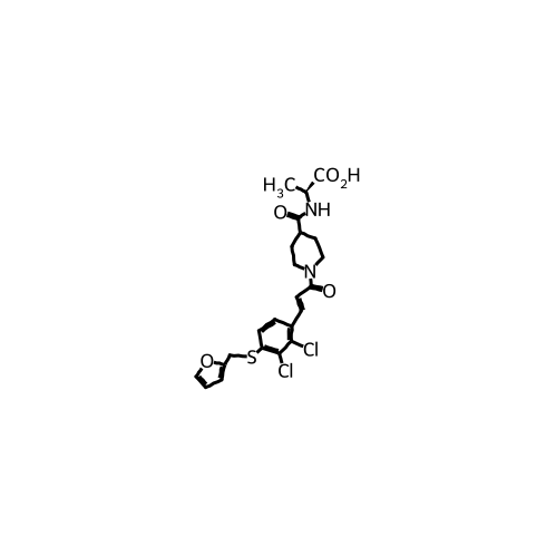 C[C@H](NC(=O)C1CCN(C(=O)/C=C/c2ccc(SCc3ccco3)c(Cl)c2Cl)CC1)C(=O)O